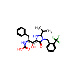 CC(C)C1N[C@@H]([C@H](O)[C@H](Cc2ccccc2)NC(=O)O)C(=O)N1Cc1ccccc1C(F)(F)F